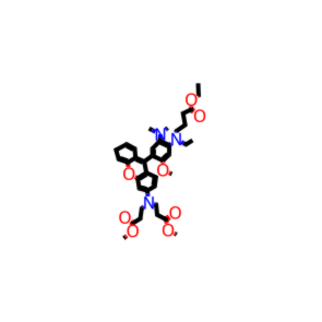 CCOC(=O)CCCN(CC)c1cc(OC)c(C2=C3C=CCC=C3Oc3cc(N(CCC(=O)OC)CCC(=O)OC)ccc32)cc1N(C)C